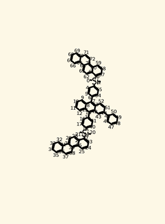 C[Si](C)(c1ccc(-c2c3ccccc3c(-c3ccc([Si](C)(C)c4cccc5c4ccc4c6ccccc6ccc54)cc3)c3cc(-c4ccccc4)ccc23)cc1)c1cccc2c1ccc1c3ccccc3ccc21